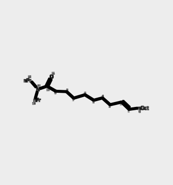 CCCCCCCCC=CCCCCCCCC(=O)N(CCC)CCC